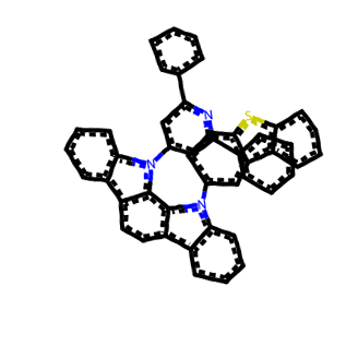 c1ccc(-c2cc(-n3c4ccccc4c4ccc5c6ccccc6n(-c6ccc7sc8ccccc8c7c6)c5c43)cc(-c3ccccc3)n2)cc1